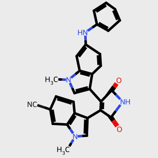 Cn1cc(C2=C(c3cn(C)c4cc(Nc5ccccc5)ccc34)C(=O)NC2=O)c2ccc(C#N)cc21